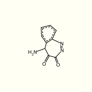 NC1C(=O)C(=O)N=Nc2ccccc21